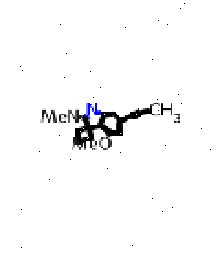 CC#Cc1cc2c(c(OC)c1)C1(CCC1)C(NC)=N2